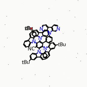 CC(C)(C)c1ccc2c(c1)c1ccccc1n2-c1c(C#N)c(-n2c3ccccc3c3cc(C(C)(C)C)ccc32)c(-n2c3ccccc3c3cc(C(C)(C)C)ccc32)c(-c2cccc(-n3c4cnccc4c4ccncc43)c2)c1-n1c2ccccc2c2cc(C(C)(C)C)ccc21